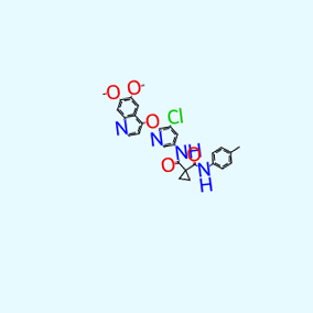 COc1cc2nccc(Oc3ncc(NC(=O)C4(C(=O)Nc5ccc(C)cc5)CC4)cc3Cl)c2cc1OC